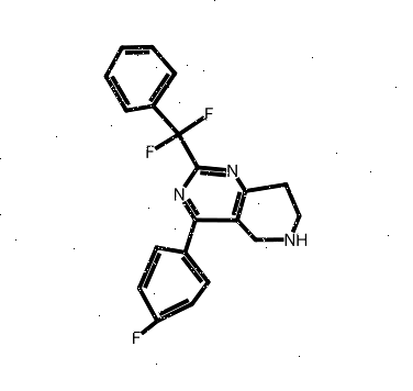 Fc1ccc(-c2nc(C(F)(F)c3ccccc3)nc3c2CNCC3)cc1